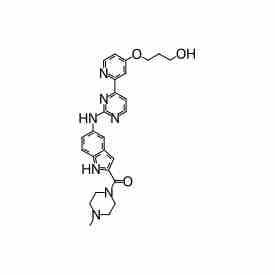 CN1CCN(C(=O)c2cc3cc(Nc4nccc(-c5cc(OCCCO)ccn5)n4)ccc3[nH]2)CC1